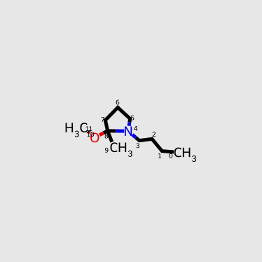 CCCCN1CCCC1(C)OC